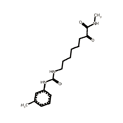 CNC(=O)C(=O)CCCCCCNC(=O)Nc1cccc(C)c1